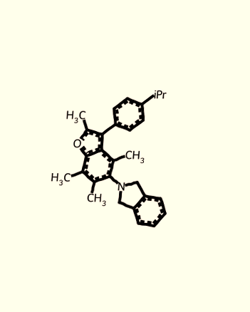 Cc1oc2c(C)c(C)c(N3Cc4ccccc4C3)c(C)c2c1-c1ccc(C(C)C)cc1